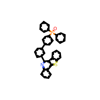 O=P(c1ccccc1)(c1ccccc1)c1ccc(-c2cccc(-c3nc4ccccc4c4sc5ccccc5c34)c2)cc1